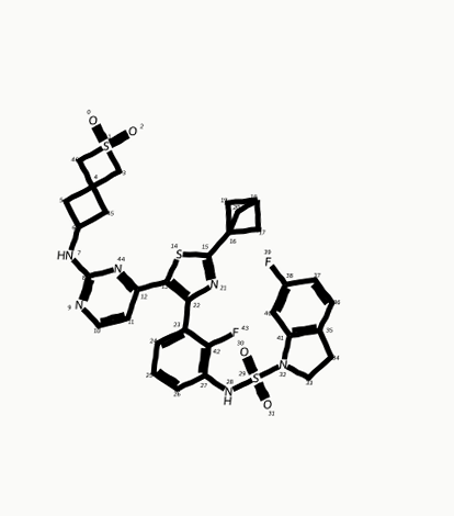 O=S1(=O)CC2(CC(Nc3nccc(-c4sc(C56CC(C5)C6)nc4-c4cccc(NS(=O)(=O)N5CCc6ccc(F)cc65)c4F)n3)C2)C1